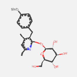 COc1ccc(Cc2c(C)cc(C)nc2O[C@@H]2O[C@H](CO)[C@@H](O)[C@H](O)[C@H]2O)cc1